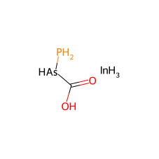 O=C(O)[AsH]P.[InH3]